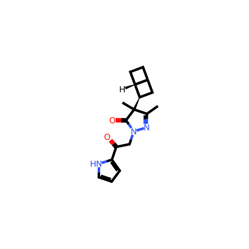 CC1=NN(CC(=O)c2ccc[nH]2)C(=O)C1(C)[C@@H]1CC2CC[C@H]21